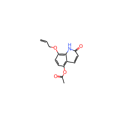 C=CCOc1ccc(OC(C)=O)c2ccc(=O)[nH]c12